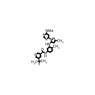 CNc1cc(-n2nc(C)cc2Nc2cc(NC(=O)c3cncc(C(C)(C)F)c3)ccc2C)ncn1